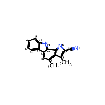 CC1=C(C#N)N=c2c1c(C)cc1c2=Nc2ccccc2-1